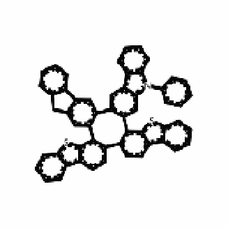 c1ccc(-n2c3ccccc3c3cc4c(cc32)-c2c(ccc3c2sc2ccccc23)-c2ccc3c(sc5ccccc53)c2-c2cc3c(cc2-4)-c2ccccc2C3)cc1